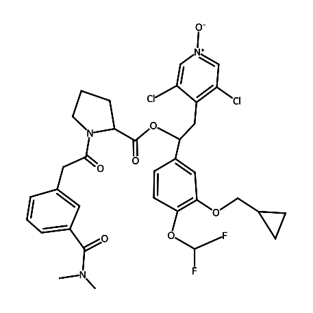 CN(C)C(=O)c1cccc(CC(=O)N2CCCC2C(=O)OC(Cc2c(Cl)c[n+]([O-])cc2Cl)c2ccc(OC(F)F)c(OCC3CC3)c2)c1